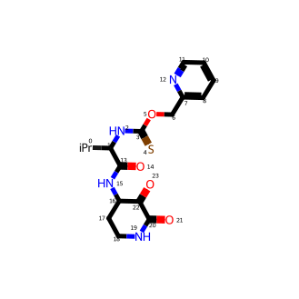 CC(C)C(NC(=S)OCc1ccccn1)C(=O)NC1CCNC(=O)C1=O